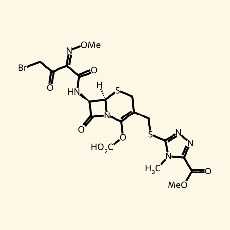 CO/N=C(/C(=O)CBr)C(=O)N[C@@H]1C(=O)N2C(OC(=O)O)=C(CSc3nnc(C(=O)OC)n3C)CS[C@H]12